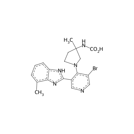 Cc1cccc2[nH]c(-c3cncc(Br)c3N3CCC(C)(NC(=O)O)C3)nc12